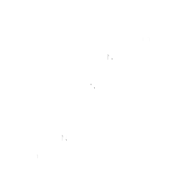 CC(C)CN1CCC(N2CCN(C(C)C(C)C)CC2)CC1